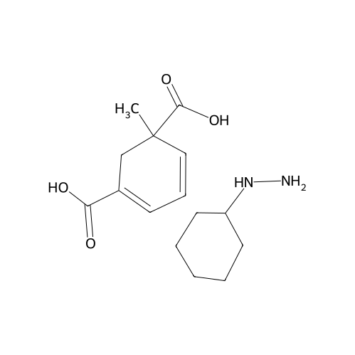 CC1(C(=O)O)C=CC=C(C(=O)O)C1.NNC1CCCCC1